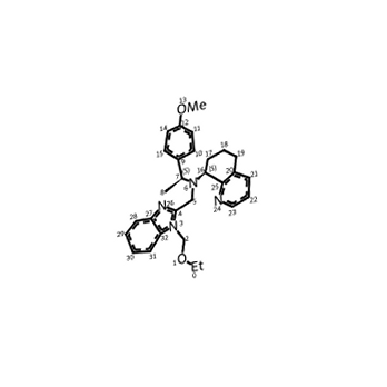 CCOCn1c(CN([C@@H](C)c2ccc(OC)cc2)[C@H]2CCCc3cccnc32)nc2ccccc21